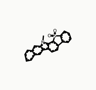 Cn1c2cc3ccccc3cc2c2ccc3c(c21)S(=O)(=O)c1ccccc1-3